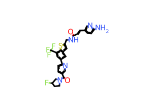 Nc1ccc(/C=C/C(=O)NCc2cc3cc(-c4ccc(C(=O)N5CCC(F)C5)cn4)cc(C(F)(F)F)c3s2)cn1